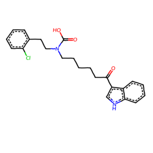 O=C(CCCCCN(CCc1ccccc1Cl)C(=O)O)c1c[nH]c2ccccc12